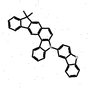 CC1(C)c2ccccc2-c2cc3c(ccc4c3c3ccccc3n4-c3ccc4oc5ccccc5c4c3)cc21